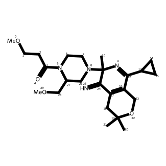 COCCC(=O)N1CCN(C2(C)N=C(C3CC3)C3=C(CC(C)(C)OC3)C2=N)CC1COC